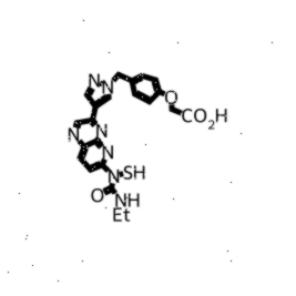 CCNC(=O)N(S)c1ccc2ncc(-c3cnn(Cc4ccc(OCC(=O)O)cc4)c3)nc2n1